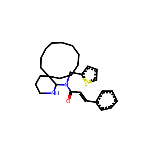 O=C(/C=C/c1ccccc1)N(Cc1cccs1)C1NCCCC12CCCCCCCCCC2